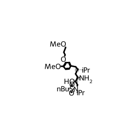 CCCCS(=O)(=O)N(C[C@H](O)[C@@H](N)C[C@H](Cc1ccc(OC)c(OCCCOC)c1)C(C)C)C(C)C